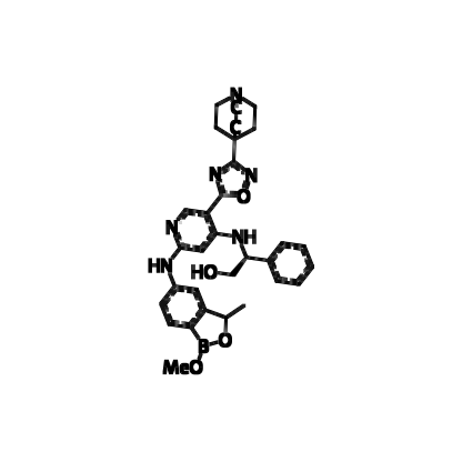 COB1OC(C)c2cc(Nc3cc(N[C@H](CO)c4ccccc4)c(-c4nc(C56CCN(CC5)CC6)no4)cn3)ccc21